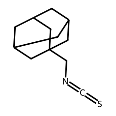 S=C=NCC12CC3CC(CC(C3)C1)C2